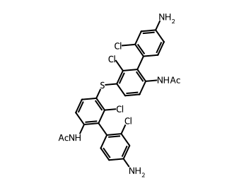 CC(=O)Nc1ccc(Sc2ccc(NC(C)=O)c(-c3ccc(N)cc3Cl)c2Cl)c(Cl)c1-c1ccc(N)cc1Cl